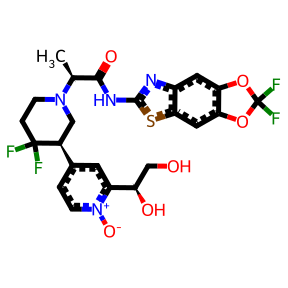 C[C@@H](C(=O)Nc1nc2cc3c(cc2s1)OC(F)(F)O3)N1CCC(F)(F)[C@H](c2cc[n+]([O-])c([C@H](O)CO)c2)C1